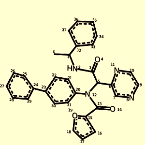 CC(NC(=O)C(c1cnccn1)N(C(=O)c1ccco1)c1ccc(-c2ccccc2)cc1)c1ccccc1